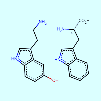 NCCc1c[nH]c2ccc(O)cc12.N[C@@H](Cc1c[nH]c2ccccc12)C(=O)O